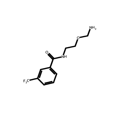 NCOCCNC(=O)c1cccc(C(F)(F)F)c1